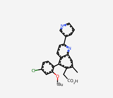 Cc1cc2nc(-c3cccnc3)ccc2c(-c2ccc(Cl)cc2OC(C)(C)C)c1CC(=O)O